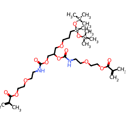 C=C(C)C(=O)OCCOCCNC(=O)OCC(COCCC[Si](C)(O[Si](C)(C)C)O[Si](C)(C)C)OC(=O)NCCOCCOC(=O)C(=C)C